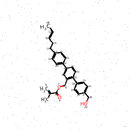 C=C(C)C(=O)OCc1cc(-c2ccc(CC/C=C/C)cc2)ccc1-c1ccc(CO)cc1